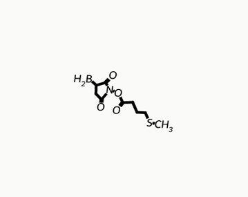 BC1CC(=O)N(OC(=O)CCCSC)C1=O